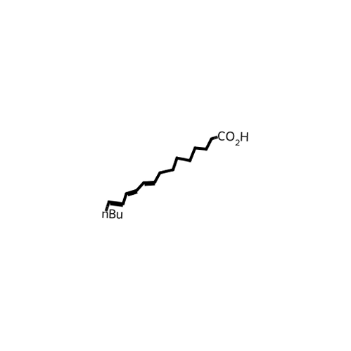 CCCC/C=C/C=CC=CCCCCCCCC(=O)O